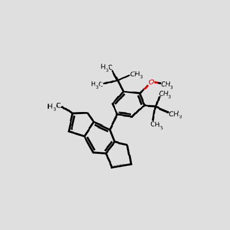 COc1c(C(C)(C)C)cc(-c2c3c(cc4c2CCC4)C=C(C)C3)cc1C(C)(C)C